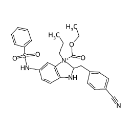 CCC[N+]1(C(=O)OCC)c2cc(NS(=O)(=O)c3ccccc3)ccc2NC1Cc1ccc(C#N)cc1